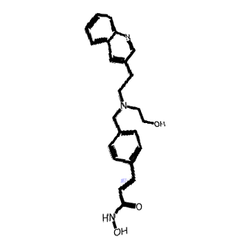 O=C(/C=C/c1ccc(CN(CCO)CCc2cnc3ccccc3c2)cc1)NO